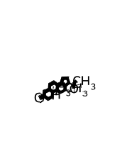 CC(=O)[C@H]1CCC2=C3C=CC4=CC(=O)CC[C@]4(C)[C@H]3CC[C@@]21C